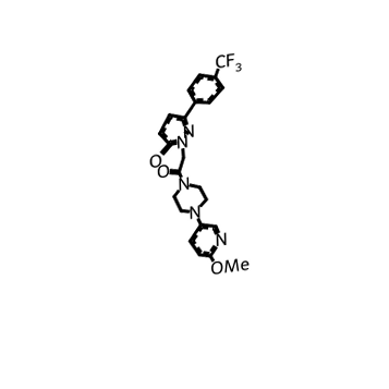 COc1ccc(N2CCN(C(=O)Cn3nc(-c4ccc(C(F)(F)F)cc4)ccc3=O)CC2)cn1